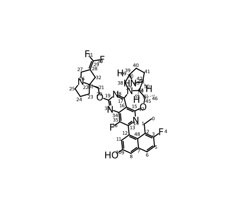 CCc1c(F)ccc2cc(O)cc(-c3nc4c5c(nc(OC[C@@]67CCCN6CC(=C(F)F)C7)nc5c3F)N3C[C@H]5CC[C@H](N5)[C@H]3[C@H](C)O4)c12